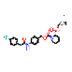 N#CCOC(=O)[C@@H]1CCCCN1C(=O)OCc1ccc(NC(=O)Cc2ccc(F)cc2)cc1